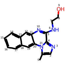 Cc1cnc2c(NCCO)nc3cc4ccccc4cc3n12